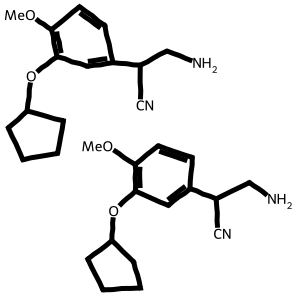 COc1ccc(C(C#N)CN)cc1OC1CCCC1.COc1ccc(C(C#N)CN)cc1OC1CCCC1